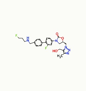 Cc1nnn(C[C@H]2CN(c3ccc(-c4ccc(CNCCCF)cc4)c(F)c3)C(=O)O2)c1CO